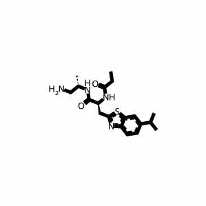 CCC(=O)N[C@@H](Cc1nc2ccc(C(C)C)cc2s1)C(=O)N[C@@H](C)CN